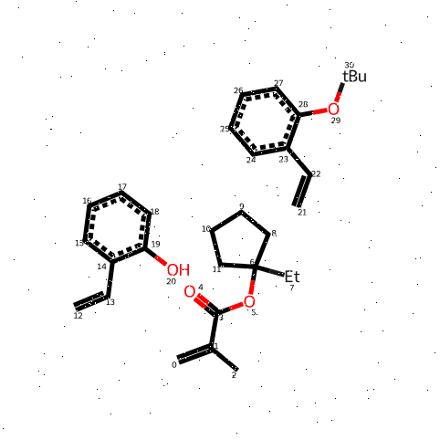 C=C(C)C(=O)OC1(CC)CCCC1.C=Cc1ccccc1O.C=Cc1ccccc1OC(C)(C)C